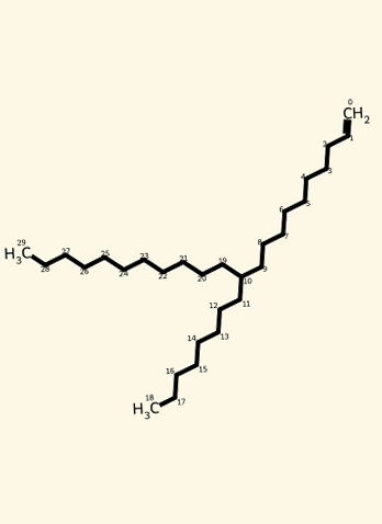 C=CCCCCCCCCC(CCCCCCCC)CCCCCCCCCCC